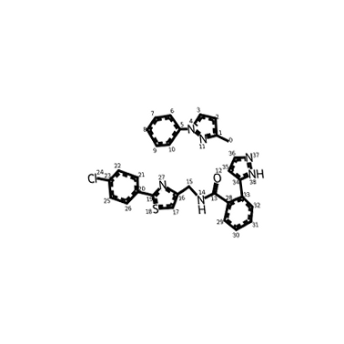 Cc1ccn(-c2ccccc2)n1.O=C(NCc1csc(-c2ccc(Cl)cc2)n1)c1ccccc1-c1ccn[nH]1